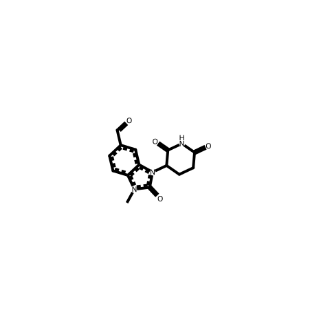 Cn1c(=O)n(C2CCC(=O)NC2=O)c2cc(C=O)ccc21